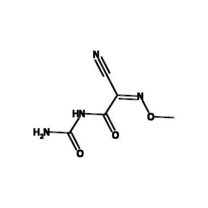 CON=C(C#N)C(=O)NC(N)=O